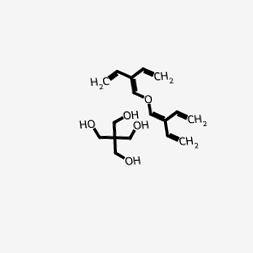 C=CC(C=C)=COC=C(C=C)C=C.OCC(CO)(CO)CO